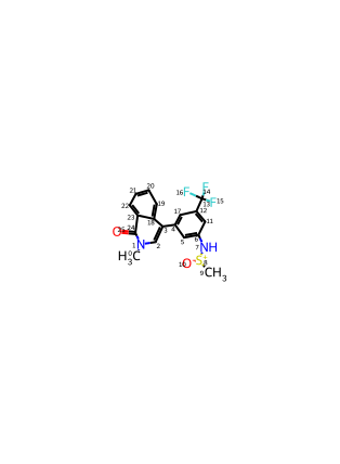 Cn1cc(-c2cc(N[S+](C)[O-])cc(C(F)(F)F)c2)c2ccccc2c1=O